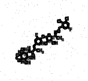 CC(=Cc1ccc(O[C@@H]2O[C@H](C(C)=NOCc3cc(F)cc(Cl)c3Cl)[C@@H](O)[C@H]2O)c(F)c1)C(=O)N[C@@H]1[C@H](O)[C@@H](O)[C@H]2OCO[C@H]2[C@@H]1O